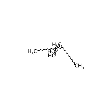 CCCCCCCCCCCCCC(CC)CC(=O)N(CCCCCCCCCCCC)CC(O)CO